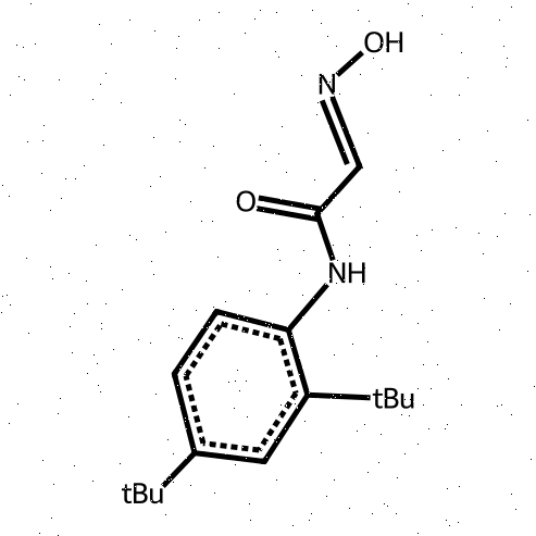 CC(C)(C)c1ccc(NC(=O)/C=N/O)c(C(C)(C)C)c1